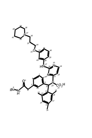 CCC(C)NC(=O)Cc1cccc(C(c2c(C)cc(C)cc2C)N(C(=O)O)c2ccnc(Nc3cccc(OCCCN4CCCCC4)c3)n2)c1